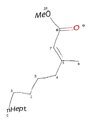 CCCCCCCCCCCC(C)=CC(=O)OC